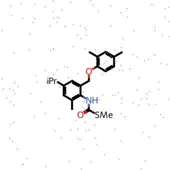 CSC(=O)Nc1c(C)cc(C(C)C)cc1COc1ccc(C)cc1C